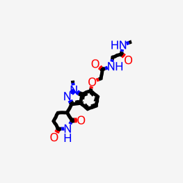 CNC(=O)CNC(=O)COc1cccc2c(C3CCC(=O)NC3=O)nn(C)c12